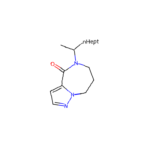 CCCCCCCC(C)N1CCCn2nccc2C1=O